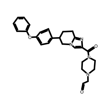 O=CCN1CCN(C(=O)c2cn3c(n2)CCC(c2ccc(Oc4ccccc4)cc2)C3)CC1